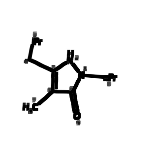 CCCn1[nH]c(CC(C)C)c(C)c1=O